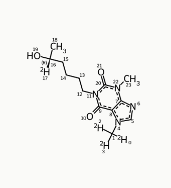 [2H]C([2H])([2H])n1cnc2c1c(=O)n(CCCC[C@@]([2H])(C)O)c(=O)n2C